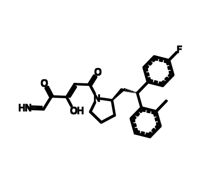 Cc1ccccc1[C@H](C[C@H]1CCCN1C(=O)/C=C(\O)C(=O)C=N)c1ccc(F)cc1